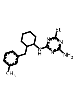 CCc1nc(N)nc(NC2CCCCC2Cc2cccc(C)c2)n1